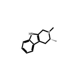 C[C@@H]1Cc2c([nH]c3ccccc23)CN1C